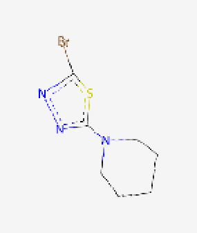 Brc1nnc(N2CCCCC2)s1